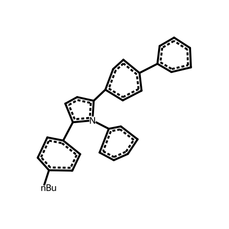 CCCCc1ccc(-c2ccc(-c3ccc(-c4ccccc4)cc3)n2-c2ccccc2)cc1